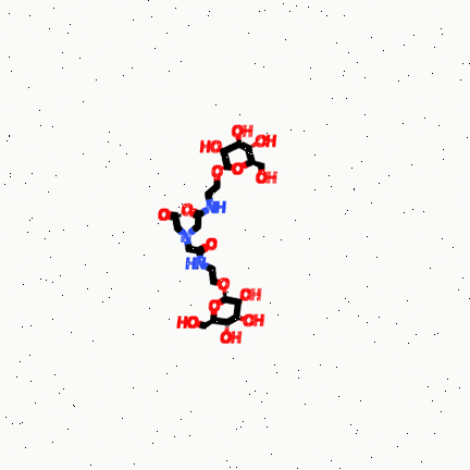 O=[C]CN(CC(=O)NCCO[C@H]1O[C@H](CO)[C@@H](O)[C@H](O)[C@@H]1O)CC(=O)NCCO[C@H]1O[C@H](CO)[C@@H](O)[C@H](O)[C@@H]1O